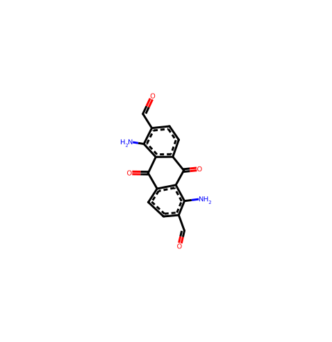 Nc1c(C=O)ccc2c1C(=O)c1ccc(C=O)c(N)c1C2=O